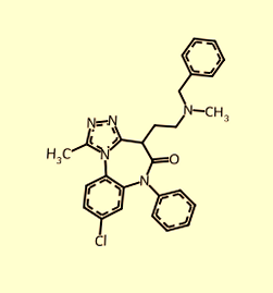 Cc1nnc2n1-c1ccc(Cl)cc1N(c1ccccc1)C(=O)C2CCN(C)Cc1ccccc1